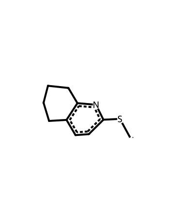 [CH2]Sc1ccc2c(n1)CCCC2